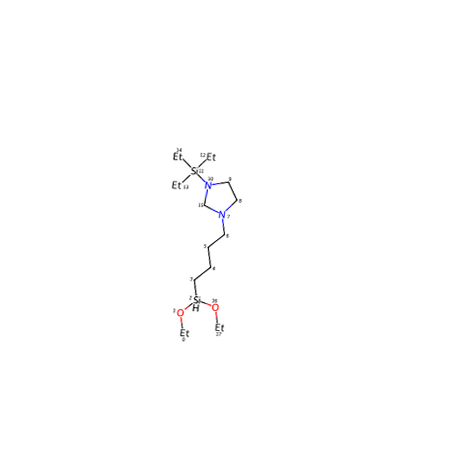 CCO[SiH](CCCCN1CCN([Si](CC)(CC)CC)C1)OCC